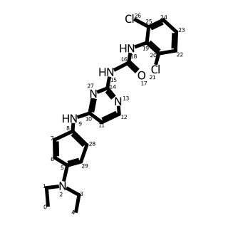 CCN(CC)c1ccc(Nc2ccnc(NC(=O)Nc3c(Cl)cccc3Cl)n2)cc1